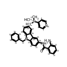 CN(C)c1ccncc1.Cl.Nc1ccccc1C(=O)Nc1ccc2c(c1)c1ccccc1n2Cc1ccccc1